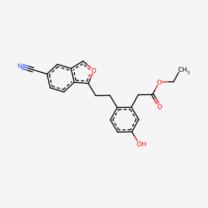 CCOC(=O)Cc1cc(O)ccc1CCc1occ2cc(C#N)ccc12